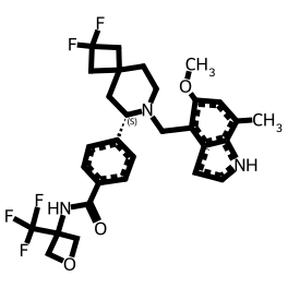 COc1cc(C)c2[nH]ccc2c1CN1CCC2(C[C@H]1c1ccc(C(=O)NC3(C(F)(F)F)COC3)cc1)CC(F)(F)C2